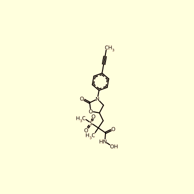 CC#Cc1ccc(N2CC(CC(C)(C(=O)NO)S(C)(=O)=O)OC2=O)cc1